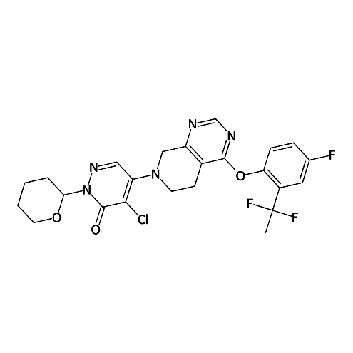 CC(F)(F)c1cc(F)ccc1Oc1ncnc2c1CCN(c1cnn(C3CCCCO3)c(=O)c1Cl)C2